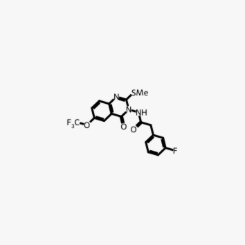 CSc1nc2ccc(OC(F)(F)F)cc2c(=O)n1NC(=O)Cc1cccc(F)c1